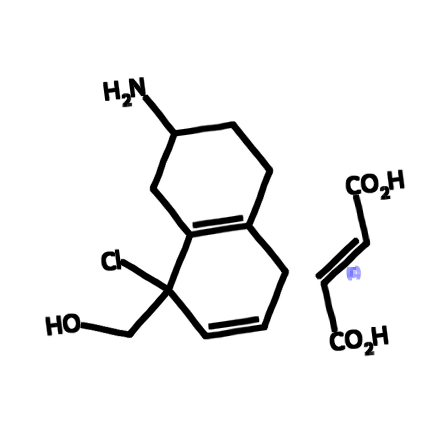 NC1CCC2=C(C1)C(Cl)(CO)C=CC2.O=C(O)/C=C/C(=O)O